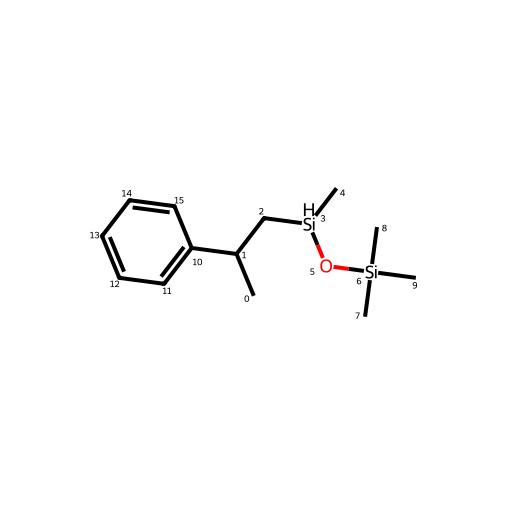 CC(C[SiH](C)O[Si](C)(C)C)c1ccccc1